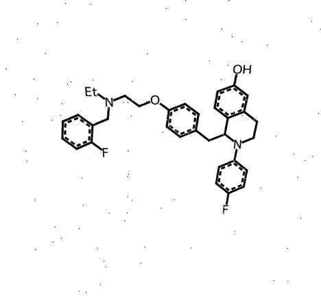 CCN(CCOc1ccc(CC2c3ccc(O)cc3CCN2c2ccc(F)cc2)cc1)Cc1ccccc1F